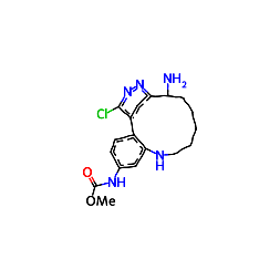 COC(=O)Nc1ccc2c(c1)NCCCCCC(N)c1cc-2c(Cl)nn1